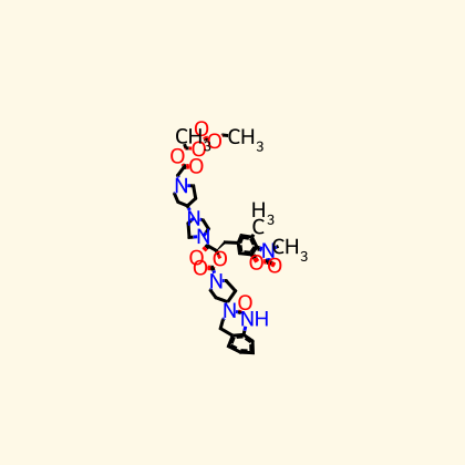 CCOC(=O)OC(C)OC(=O)CN1CCC(N2CCN(C(=O)[C@@H](Cc3cc(C)c4c(c3)oc(=O)n4C)OC(=O)N3CCC(N4CCc5ccccc5NC4=O)CC3)CC2)CC1